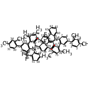 Cc1ccc(-c2ccc(N(C3=C4C=CC5=C6C(=CC=C(C=C3)C46)C(N(c3ccc(-c4ccc(C)cc4C)cc3-c3ccc(C)cc3C)c3ccccc3C(F)(F)F)C=C5)c3ccccc3C(F)(F)F)c(-c3ccc(C)cc3C)c2)c(C)c1